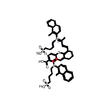 CC(=CC=C1CCCC(C=C/C(C)=[N+](\CCCCS(=O)(=O)O)c2ccc3ccccc3c2C)=C1Sc1ccc(C(=O)O)cc1)N(CCCCS(=O)(=O)O)c1ccc2ccccc2c1C